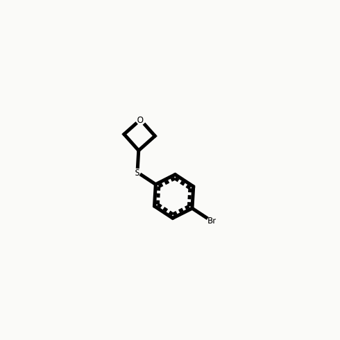 Brc1ccc(SC2COC2)cc1